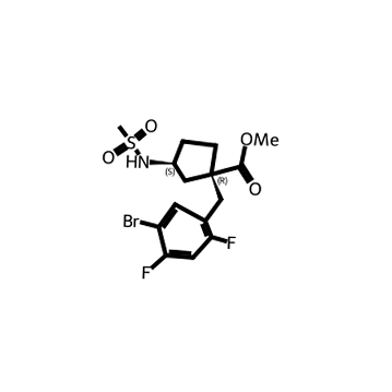 COC(=O)[C@@]1(Cc2cc(Br)c(F)cc2F)CC[C@H](NS(C)(=O)=O)C1